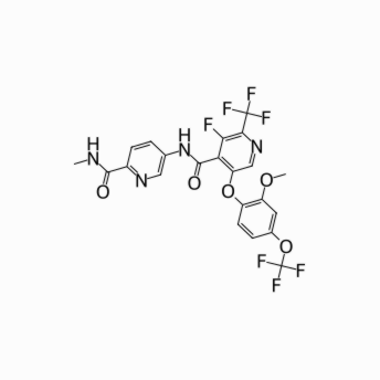 CNC(=O)c1ccc(NC(=O)c2c(Oc3ccc(OC(F)(F)F)cc3OC)cnc(C(F)(F)F)c2F)cn1